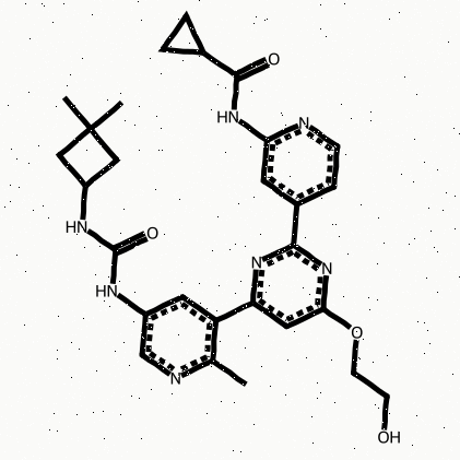 Cc1ncc(NC(=O)NC2CC(C)(C)C2)cc1-c1cc(OCCO)nc(-c2ccnc(NC(=O)C3CC3)c2)n1